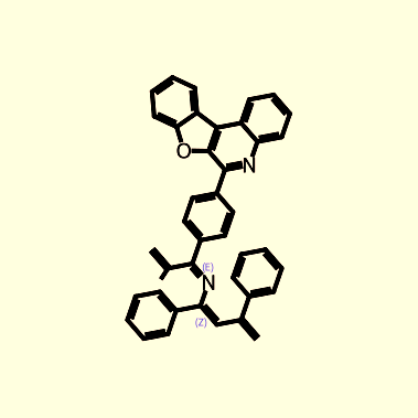 C=C(C)/C(=N\C(=C/C(=C)c1ccccc1)c1ccccc1)c1ccc(-c2nc3ccccc3c3c2oc2ccccc23)cc1